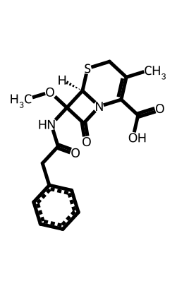 COC1(NC(=O)Cc2ccccc2)C(=O)N2C(C(=O)O)=C(C)CS[C@@H]21